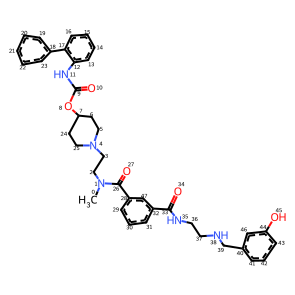 CN(CCN1CCC(OC(=O)Nc2ccccc2-c2ccccc2)CC1)C(=O)c1cccc(C(=O)NCCNCc2cccc(O)c2)c1